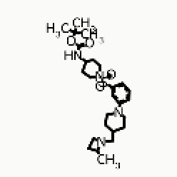 CC1CCN1CC1CCN(c2cccc(S(=O)(=O)N3CCC(NC(=O)OC(C)(C)C)CC3)c2)CC1